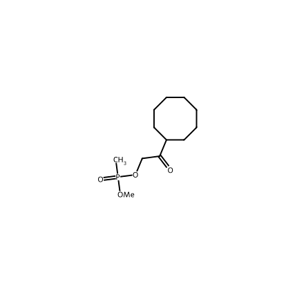 COP(C)(=O)OCC(=O)C1CCCCCCC1